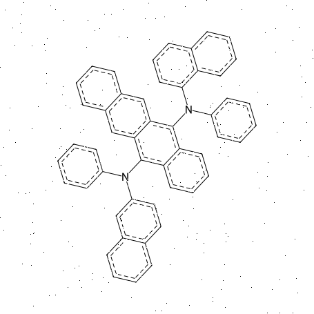 c1ccc(N(c2ccc3ccccc3c2)c2c3ccccc3c(N(c3ccccc3)c3cccc4ccccc34)c3cc4ccccc4cc23)cc1